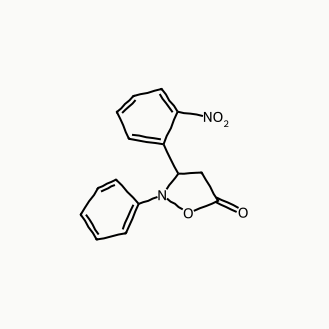 O=C1CC(c2ccccc2[N+](=O)[O-])N(c2ccccc2)O1